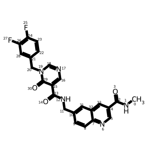 CNC(=O)c1cnc2ccc(CNC(=O)c3cncn(Cc4ccc(F)c(F)c4)c3=O)cc2c1